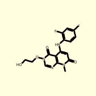 Cn1c(=O)cc(Nc2ccc(I)cc2F)c2c(=O)n(OCCO)cnc21